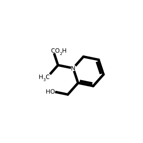 CC(C(=O)O)N1CC=CC=C1CO